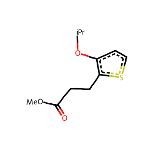 COC(=O)CCc1sccc1OC(C)C